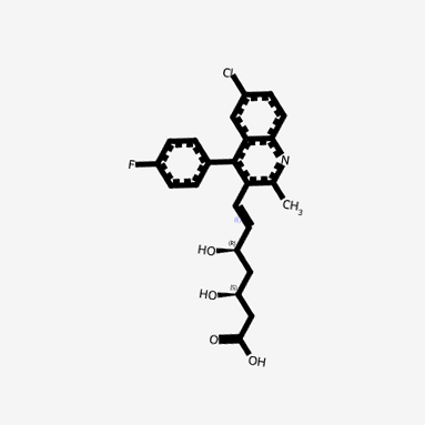 Cc1nc2ccc(Cl)cc2c(-c2ccc(F)cc2)c1/C=C/[C@H](O)C[C@H](O)CC(=O)O